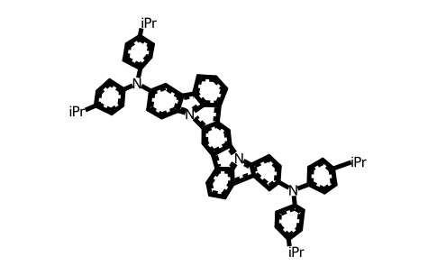 CC(C)c1ccc(N(c2ccc(C(C)C)cc2)c2ccc3c(c2)c2cccc4c5cc6c(cc5n3c24)c2cccc3c4cc(N(c5ccc(C(C)C)cc5)c5ccc(C(C)C)cc5)ccc4n6c32)cc1